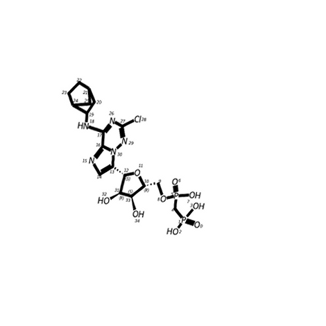 O=P(O)(O)CP(=O)(O)OC[C@H]1O[C@@H](c2cnc3c(NC4CC5CCC4C5)nc(Cl)nn23)[C@H](O)[C@@H]1O